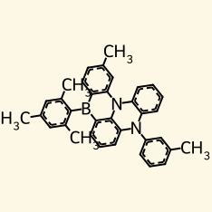 Cc1cccc(N2c3ccccc3N3c4cc(C)ccc4B(c4c(C)cc(C)cc4C)c4cccc2c43)c1